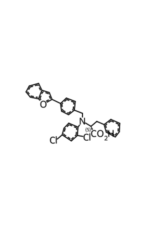 O=C(O)[C@H](Cc1ccccc1)N(Cc1ccc(-c2cc3ccccc3o2)cc1)c1ccc(Cl)cc1Cl